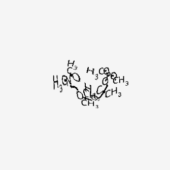 COP(OC)OCC(C)(C)COCC(C)(C)OCCN(C)C(C)=O